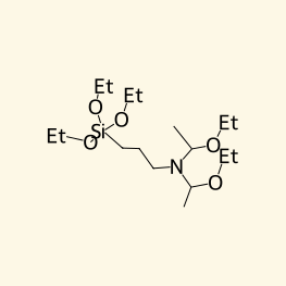 CCOC(C)N(CCC[Si](OCC)(OCC)OCC)C(C)OCC